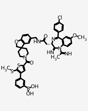 COc1ccc2c(c1)C(c1ccc(Cl)cc1)=N[C@@H](CC(=O)NCc1ccc3c(c1)C1(CCN(C(=O)c4cc(-c5cccc(B(O)O)c5)c(SC)s4)CC1)CO3)C(=N)N2C(C)=N